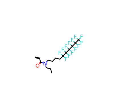 C=CC(=O)N(CCC)CCCCC(F)(F)C(F)(F)C(F)(F)C(F)(F)C(F)(F)C(F)(F)F